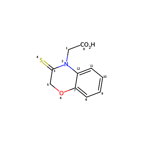 O=C(O)CN1C(=S)COc2ccccc21